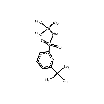 CC(C)(O)c1cccc(S(=O)(=O)N[Si](C)(C)C(C)(C)C)n1